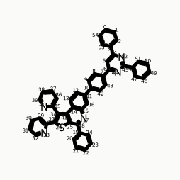 c1ccc(-c2cc(-c3ccc(-c4ccc5c(c4)nc(-c4ccccc4)c4sc(-c6ccccn6)c(-c6ccccn6)c45)cc3)nc(-c3ccccc3)n2)cc1